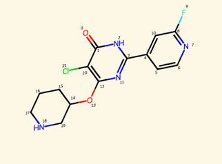 O=c1[nH]c(-c2ccnc(F)c2)nc(OC2CCCNC2)c1Cl